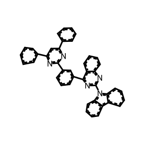 c1ccc(-c2cc(-c3ccccc3)nc(-c3cccc(-c4nc(-n5c6ccccc6c6ccccc65)nc5ccccc45)c3)n2)cc1